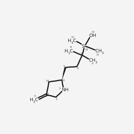 C=C1CN[C@H](CCC(C)(C)[Si](C)(C)O)C1